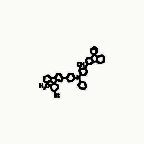 C=C1CC(CC)CCC12c1ccccc1-c1ccc(-c3ccc(N(c4ccccc4)c4ccc(-c5ccc6c(c5)-c5ccccc5C65CC6CCC5C6)c(C)c4)cc3)cc12